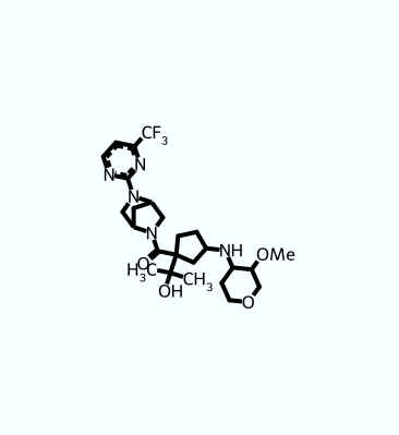 COC1COCCC1NC1CCC(C(=O)N2CC3CC2CN3c2nccc(C(F)(F)F)n2)(C(C)(C)O)C1